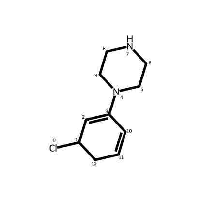 ClC1C=C(N2CCNCC2)C=CC1